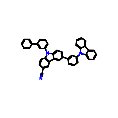 N#Cc1ccc2c(c1)c1cc(-c3cccc(-n4c5ccccc5c5ccccc54)c3)ccc1n2-c1cccc(-c2ccccc2)c1